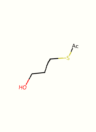 CC(=O)SCCCO